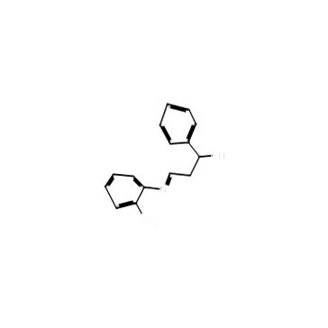 CC(C/C=N/c1ccccc1C(=O)O)c1ccccc1